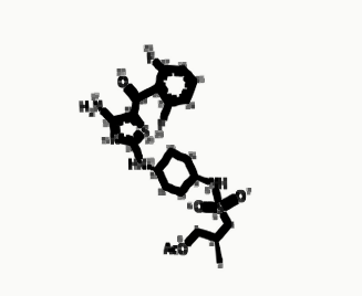 CC(=O)OC[C@H](C)CS(=O)(=O)N[C@H]1CC[C@H](Nc2nc(N)c(C(=O)c3c(F)cccc3F)s2)CC1